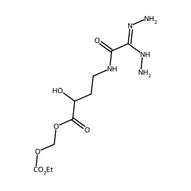 CCOC(=O)OCOC(=O)C(O)CCNC(=O)/C(=N/N)NN